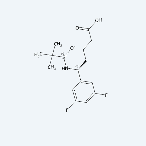 CC(C)(C)[S@+]([O-])N[C@@H](CCCC(=O)O)c1cc(F)cc(F)c1